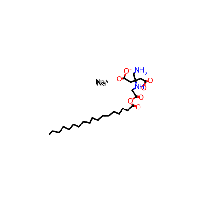 CCCCCCCCCCCCCCCCCC(=O)OC(=O)CNC(CN)(CC(=O)[O-])CC(=O)[O-].[Na+].[Na+]